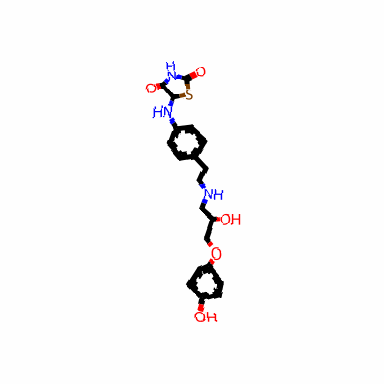 O=C1NC(=O)C(Nc2ccc(CCNCC(O)COc3ccc(O)cc3)cc2)S1